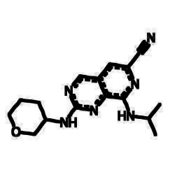 CC(C)Nc1nc(C#N)cc2cnc(NC3CCCOC3)nc12